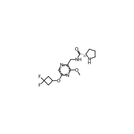 COc1nc(OC2CC(F)(F)C2)cnc1CNC(=O)[C@@H]1CCCN1